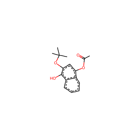 CC(=O)Oc1cc(OC(C)(C)C)c(O)c2ccccc12